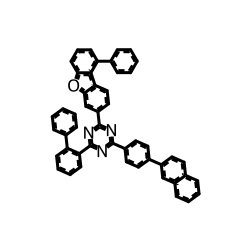 c1ccc(-c2ccccc2-c2nc(-c3ccc(-c4ccc5ccccc5c4)cc3)nc(-c3ccc4c(c3)oc3cccc(-c5ccccc5)c34)n2)cc1